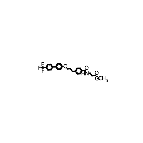 COC(=O)CCNC(=O)c1ccc(CCCOc2ccc(-c3ccc(C(F)(F)F)cc3)cc2)cc1